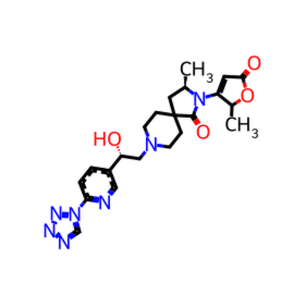 CC1OC(=O)C=C1N1C(=O)C2(CCN(C[C@@H](O)c3ccc(-n4cnnn4)nc3)CC2)C[C@H]1C